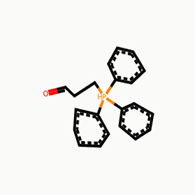 O=CCC[PH](c1ccccc1)(c1ccccc1)c1ccccc1